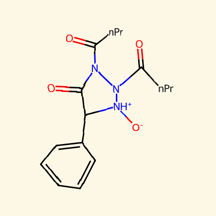 CCCC(=O)N1C(=O)C(c2ccccc2)[NH+]([O-])N1C(=O)CCC